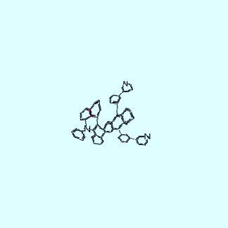 c1ccc(-c2c(N(c3ccccc3)c3ccccc3)c3ccccc3c3cc4c(-c5cccc(-c6cccnc6)c5)c5ccccc5c(-c5cccc(-c6cccnc6)c5)c4cc23)cc1